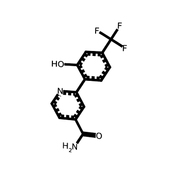 NC(=O)c1ccnc(-c2ccc(C(F)(F)F)cc2O)c1